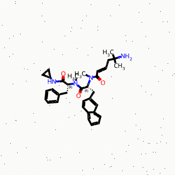 CN(C(=O)C=CCC(C)(C)N)[C@H](Cc1ccc2ccccc2c1)C(=O)N(C)[C@H](Cc1ccccc1)C(=O)NC1CC1